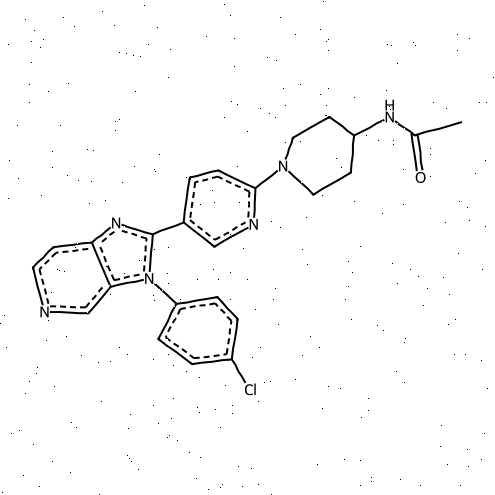 CC(=O)NC1CCN(c2ccc(-c3nc4ccncc4n3-c3ccc(Cl)cc3)cn2)CC1